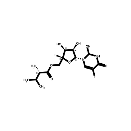 CC(C)[C@H](N)C(=O)OC[C@@]1(F)O[C@@H](N2C=C(F)C(=O)NC2O)[C@H](O)[C@@H]1O